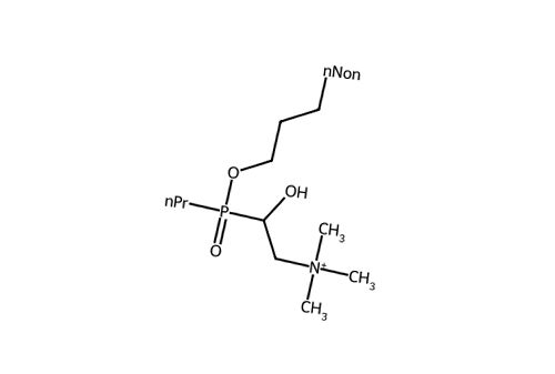 CCCCCCCCCCCCOP(=O)(CCC)C(O)C[N+](C)(C)C